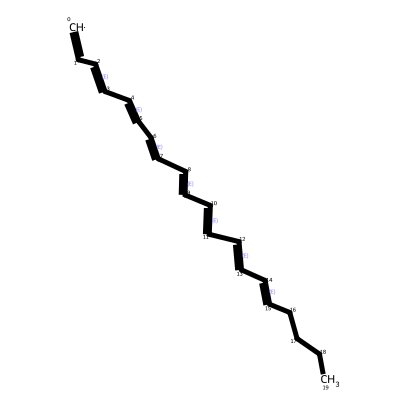 [CH]=C/C=C/C=C/C=C/C=C/C=C/C=C/C=C/CCCC